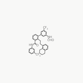 O=CNc1cc(-c2cccc(C(=O)Nc3cccc(C(F)(F)F)c3)c2CCc2cccc3c2CCCC3)cc(C(F)(F)F)c1